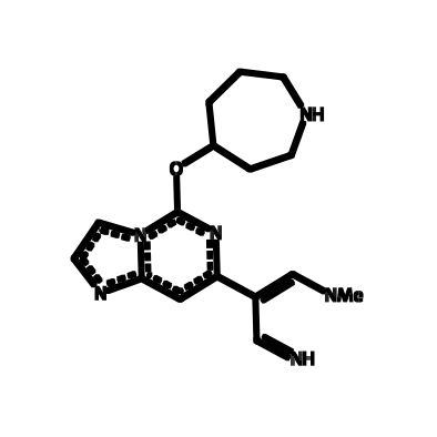 CN/C=C(\C=N)c1cc2nccn2c(OC2CCCNCC2)n1